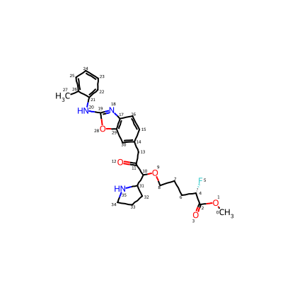 COC(=O)[C@@H](F)CCCOC(C(=O)Cc1ccc2nc(Nc3ccccc3C)oc2c1)C1CCCN1